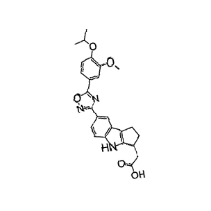 COc1cc(-c2nc(-c3ccc4[nH]c5c(c4c3)CCC5CC(=O)O)no2)ccc1OC(C)C